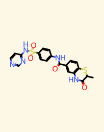 CC1Sc2ccc(C(=O)Nc3ccc(S(=O)(=O)Nc4ccncn4)cc3)cc2NC1=O